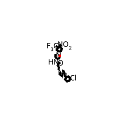 O=C(CCCN1CCN(c2cccc(Cl)c2)CC1)NC1CCN(c2ccc([N+](=O)[O-])c(C(F)(F)F)c2)CC1